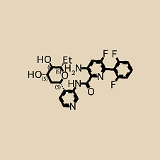 CC[C@@H]1O[C@H](c2ccncc2NC(=O)c2nc(-c3c(F)cccc3F)c(F)cc2N)C[C@H](O)[C@H]1O